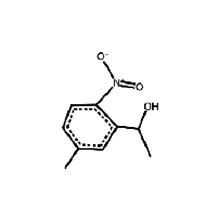 Cc1ccc([N+](=O)[O-])c(C(C)O)c1